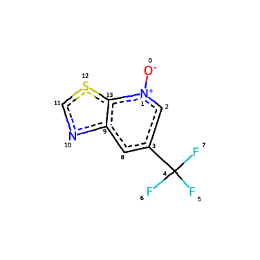 [O-][n+]1cc(C(F)(F)F)cc2ncsc21